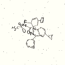 CS(=O)(=O)NC(=O)C1(n2nc(-c3ccccc3)c3cc(C4CC4)ccc32)C=C(Cl)C=CC1F